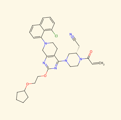 C=CC(=O)N1CCN(c2nc(OCCOC3CCCC3)nc3c2CCN(c2cccc4cccc(Cl)c24)C3)C[C@@H]1CC#N